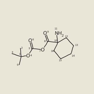 CC(C)(C)OC(=O)OC(=O)C1(N)CCCCC1